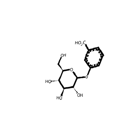 O=C(O)c1cccc(OC2O[C@H](CO)[C@@H](O)[C@H](O)[C@H]2O)c1